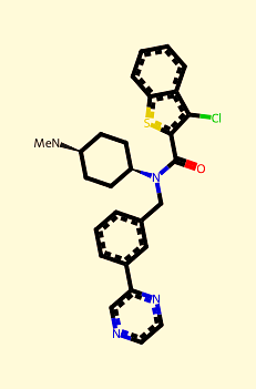 CN[C@H]1CC[C@@H](N(Cc2cccc(-c3cnccn3)c2)C(=O)c2sc3ccccc3c2Cl)CC1